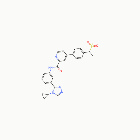 CC(c1ccc(-c2ccnc(C(=O)Nc3cccc(-c4nncn4C4CC4)c3)c2)cc1)[SH](=O)=O